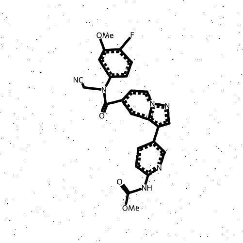 COC(=O)Nc1ccc(-c2cnn3ccc(C(=O)N(CC#N)c4ccc(F)c(OC)c4)cc23)cn1